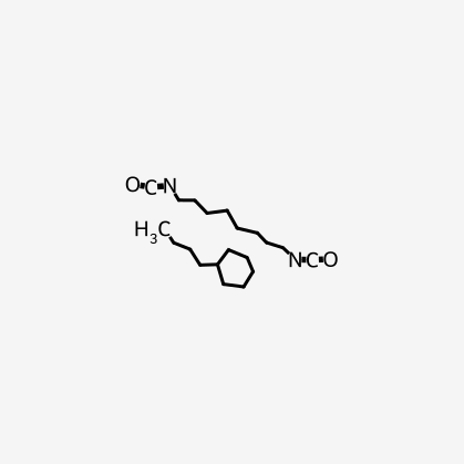 CCCCC1CCCCC1.O=C=NCCCCCCCCN=C=O